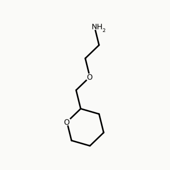 NCCOCC1CCCCO1